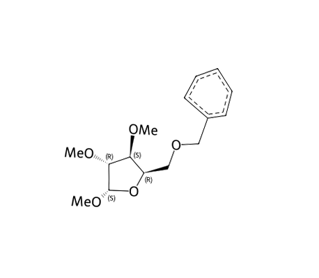 CO[C@H]1O[C@H](COCc2ccccc2)[C@H](OC)[C@H]1OC